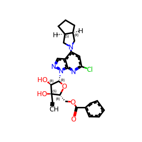 C#C[C@@]1(O)[C@@H](COC(=O)c2ccccc2)O[C@@H](n2ncc3c(N4C[C@H]5CCC[C@H]5C4)cc(Cl)nc32)[C@@H]1O